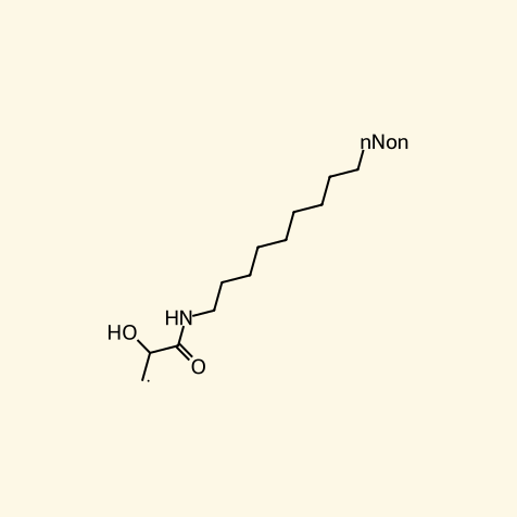 [CH2]C(O)C(=O)NCCCCCCCCCCCCCCCCCC